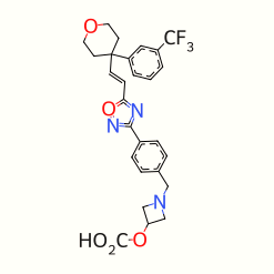 O=C(O)OC1CN(Cc2ccc(-c3noc(/C=C/C4(c5cccc(C(F)(F)F)c5)CCOCC4)n3)cc2)C1